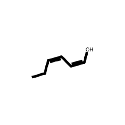 CC/C=C\C=C/O